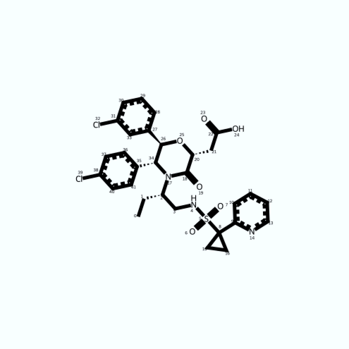 CC[C@@H](CNS(=O)(=O)C1(c2ccccn2)CC1)N1C(=O)[C@@H](CC(=O)O)O[C@H](c2cccc(Cl)c2)[C@H]1c1ccc(Cl)cc1